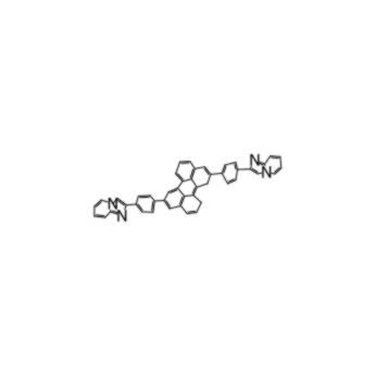 C1=Cc2cc(-c3ccc(-c4cn5ccccc5n4)cc3)cc3c2c(c2c4c(cccc43)C=C(c3ccc(-c4cn5ccccc5n4)cc3)C2)C1